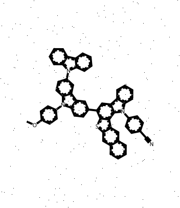 COc1ccc(-n2c3ccc(-c4cc5c6ccccc6n(-c6ccc(C#N)cc6)c5c5c4sc4cc6ccccc6cc45)cc3c3cc(-n4c5ccccc5c5ccccc54)ccc32)cc1